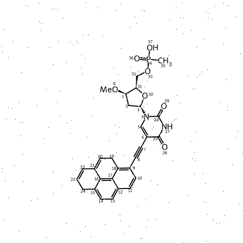 CO[C@@H]1C[C@H](n2cc(C#Cc3ccc4ccc5c6c4c3CC=C6C=CC5)c(=O)[nH]c2=O)O[C@@H]1COP(C)(=O)O